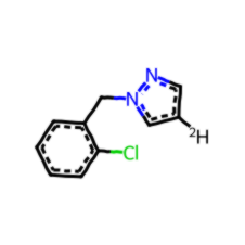 [2H]c1cnn(Cc2ccccc2Cl)c1